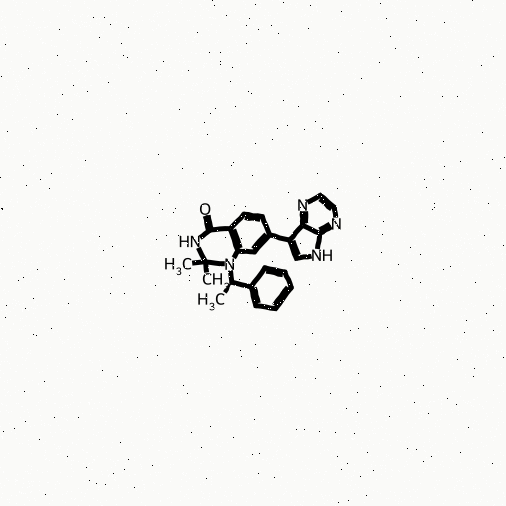 C[C@H](c1ccccc1)N1c2cc(-c3c[nH]c4nccnc34)ccc2C(=O)NC1(C)C